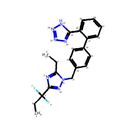 CCc1nc(C(F)(F)CC)nn1Cc1ccc(-c2ccccc2-c2nnn[nH]2)cc1